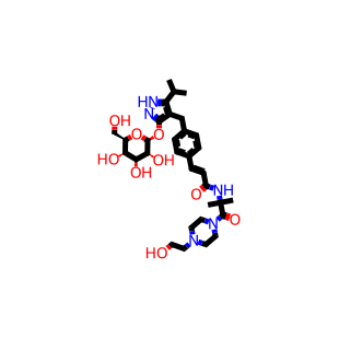 CC(C)c1[nH]nc(O[C@@H]2O[C@H](CO)[C@@H](O)[C@H](O)[C@H]2O)c1Cc1ccc(/C=C/C(=O)NC(C)(C)C(=O)N2CCN(CCO)CC2)cc1